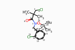 CC(C)(CCl)C(=O)N(Cc1ccccc1Cl)O[Si](C)(C)C(C)(C)C